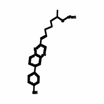 CCCCCOC(C)CCCC=Cc1cnc2cc(-c3ccc(O)cc3)ccc2n1